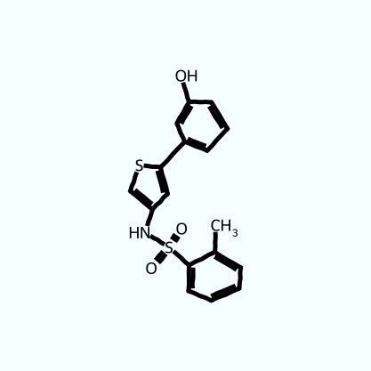 Cc1ccccc1S(=O)(=O)Nc1csc(-c2cccc(O)c2)c1